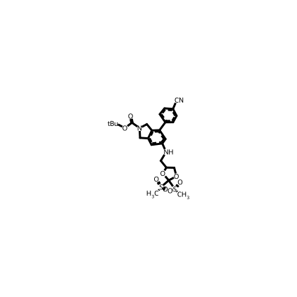 CC(C)(C)OC(=O)N1Cc2cc(NCC3COC(S(C)(=O)=O)(S(C)(=O)=O)O3)cc(-c3ccc(C#N)cc3)c2C1